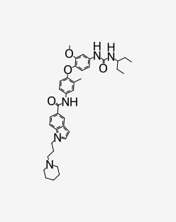 CCC(CC)NC(=O)Nc1ccc(Oc2ccc(NC(=O)c3ccc4c(ccn4CCCN4CCCCC4)c3)cc2C)c(OC)c1